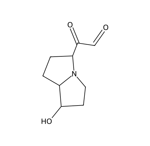 O=CC(=O)C1CCC2C(O)CCN12